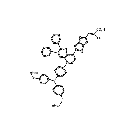 CCCCCCOc1ccc(N(c2ccc(OCCCCCC)cc2)c2ccc(-c3ccc(-c4cc5sc(/C=C(\C#N)C(=O)O)cc5s4)c4nc(-c5ccccc5)c(-c5ccccc5)nc34)cc2)cc1